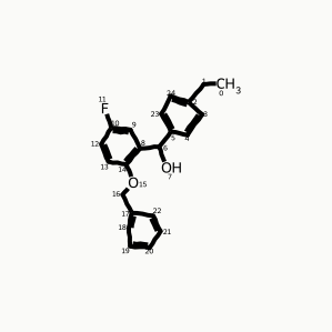 CCc1ccc(C(O)c2cc(F)ccc2OCc2ccccc2)cc1